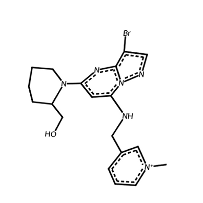 C[n+]1cccc(CNc2cc(N3CCCCC3CO)nc3c(Br)cnn23)c1